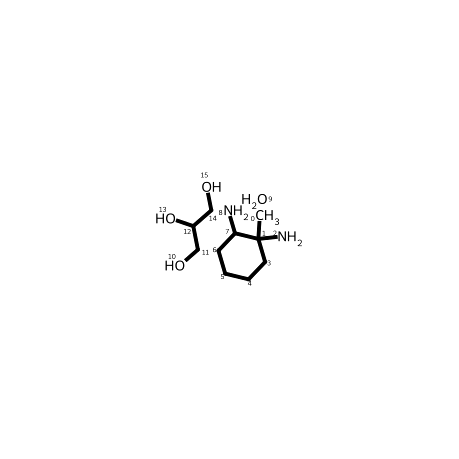 CC1(N)CCCCC1N.O.OCC(O)CO